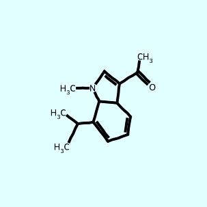 CC(=O)C1=CN(C)C2C(C(C)C)=CC=CC12